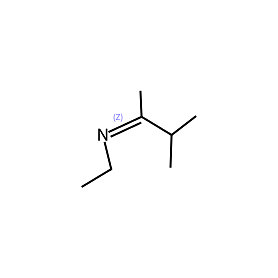 CC/N=C(/C)C(C)C